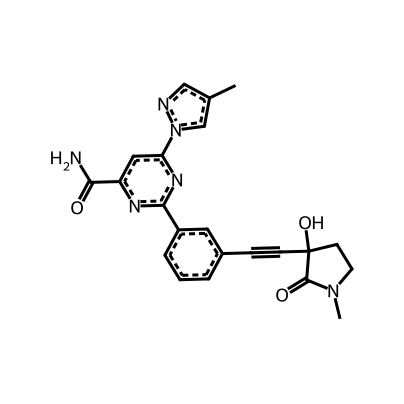 Cc1cnn(-c2cc(C(N)=O)nc(-c3cccc(C#CC4(O)CCN(C)C4=O)c3)n2)c1